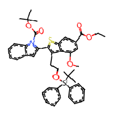 CCOC(=O)c1cc(OC)c2c(CCO[Si](c3ccccc3)(c3ccccc3)C(C)(C)C)c(-c3cc4ccccc4n3C(=O)OC(C)(C)C)sc2c1